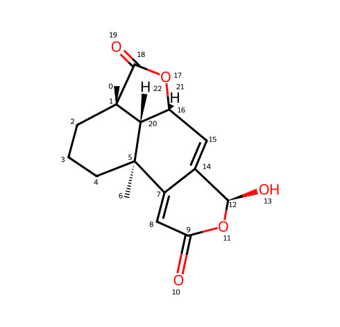 C[C@@]12CCC[C@]3(C)C4=CC(=O)O[C@H](O)C4=C[C@@H](OC1=O)[C@@H]23